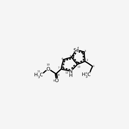 CCc1c[se]c2cc(C(=O)OC)[nH]c12